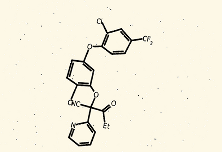 CCC(=O)C(C#N)(Oc1cc(Oc2ccc(C(F)(F)F)cc2Cl)ccc1Cl)c1ccccn1